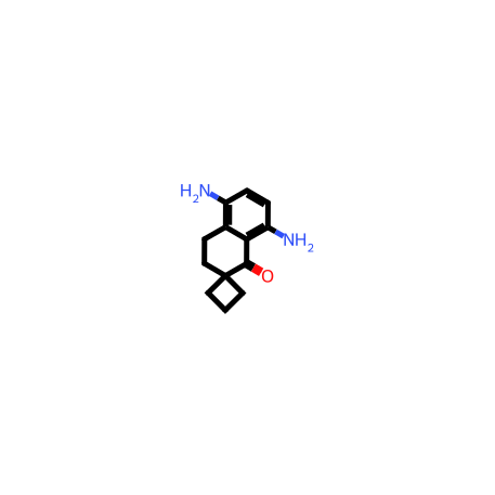 Nc1ccc(N)c2c1CCC1(CCC1)C2=O